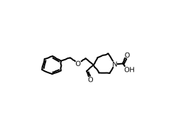 O=CC1(COCc2ccccc2)CCN(C(=O)O)CC1